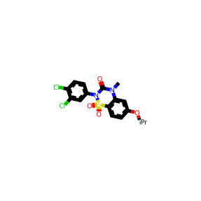 CC(C)Oc1ccc2c(c1)N(C)C(=O)N(c1ccc(Cl)c(Cl)c1)S2(=O)=O